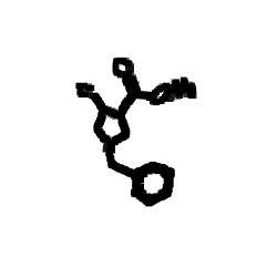 CCC1CN(Cc2ccccc2)CC1C(=O)OC